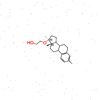 Cc1ccc2c(c1)CCC1C2CC[C@@]2(C)C1CC[C@]2(C)OCCO